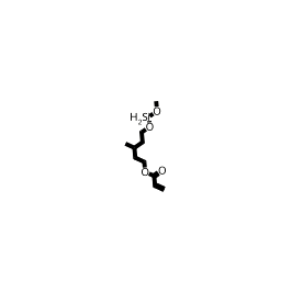 C=CC(=O)OCCC(C)CCO[SiH2]OC